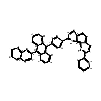 C1=C=CC(c2ccc3ccc4ccc(-c5ccc(-c6c7ccccc7c(-c7ccc8ccccc8c7)c7ccccc67)cc5)nc4c3n2)=CC=1